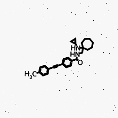 Cc1ccc(C#Cc2ccc(C(=O)NCC3(NC4CC4)CCCCCC3)cc2)cc1